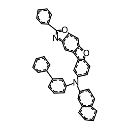 c1ccc(-c2cccc(N(c3ccc4ccccc4c3)c3ccc4oc5cc6oc(-c7ccccc7)nc6cc5c4c3)c2)cc1